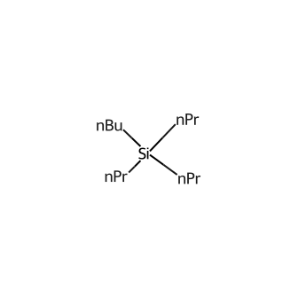 CCCC[Si](CCC)(CCC)CCC